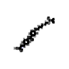 C=C(C)C(=O)OCCCCCCOc1ccc(C(=O)Oc2ccc(/C=C/C(=O)O)cc2)cc1